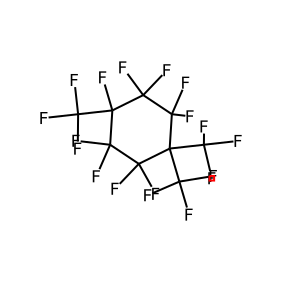 FC(F)(F)C1(F)C(F)(F)C(F)(F)C(C(F)(F)F)(C(F)(F)F)C(F)(F)C1(F)F